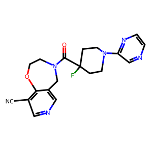 N#Cc1cncc2c1OCCN(C(=O)C1(F)CCN(c3cnccn3)CC1)C2